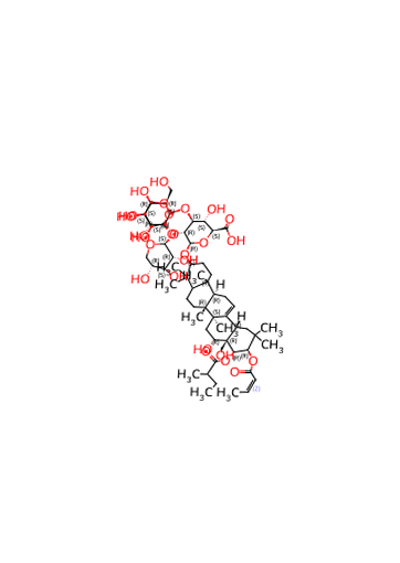 C/C=C\C(=O)O[C@H]1[C@H](OC(=O)C(C)CC)[C@]2(CO)[C@H](O)C[C@]3(C)C(=CC[C@@H]4[C@@]5(C)CC[C@H](O[C@@H]6O[C@H](C(=O)O)[C@@H](O)[C@H](O[C@@H]7OC[C@H](O)[C@H](O)[C@H]7O[C@@H]7OC[C@@H](O)[C@H](O)[C@H]7O)[C@H]6O[C@@H]6O[C@H](CO)[C@H](O)[C@H](O)[C@H]6O)C(C)(C)C5CC[C@]43C)[C@@H]2CC1(C)C